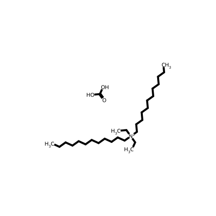 CCCCCCCCCCCC[N+](CC)(CC)CCCCCCCCCCCC.O=C(O)O